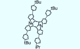 CC(C)c1ccc(-c2ccc3c(c2)c2c4c5cc(-c6ccc(C(C)(C)C)cc6)ccc5n5c6ccc(-c7ccc(C(C)(C)C)cc7)cc6c(c6c7cc(-c8ccc(C(C)(C)C)cc8)ccc7n3c26)c45)cc1